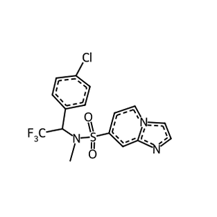 CN(C(c1ccc(Cl)cc1)C(F)(F)F)S(=O)(=O)c1ccn2ccnc2c1